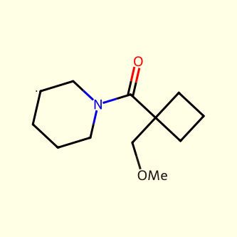 COCC1(C(=O)N2C[CH]CCC2)CCC1